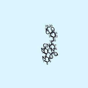 N#Cc1ccc(-c2ncccc2OCC(=O)N2CCC(CCc3ccc4c(c3)OCCCO4)CC2)cn1